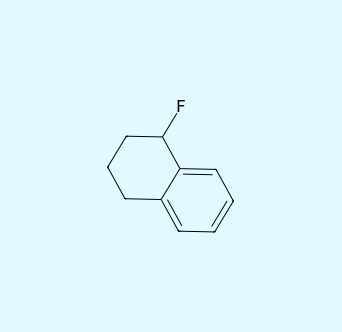 FC1CCCc2ccccc21